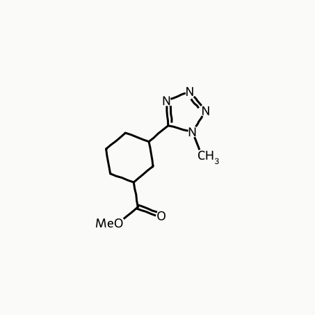 COC(=O)C1CCCC(c2nnnn2C)C1